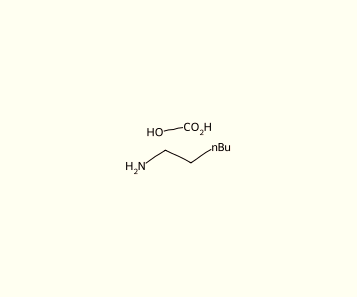 CCCCCCN.O=C(O)O